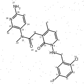 Cc1ccn(NCc2cc(F)ccc2Cl)c(=O)c1CC(=O)N(C)c1ccc(N)nc1C